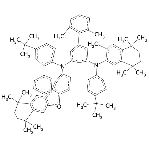 Cc1cc2c(cc1N(c1ccc(C(C)(C)C)cc1)c1cc(-c3c(C)cccc3C)cc(N(c3ccc4oc5cc6c(cc5c4c3)C(C)(C)CCC6(C)C)c3ccc(C(C)(C)C)cc3-c3ccccc3)c1)C(C)(C)CCC2(C)C